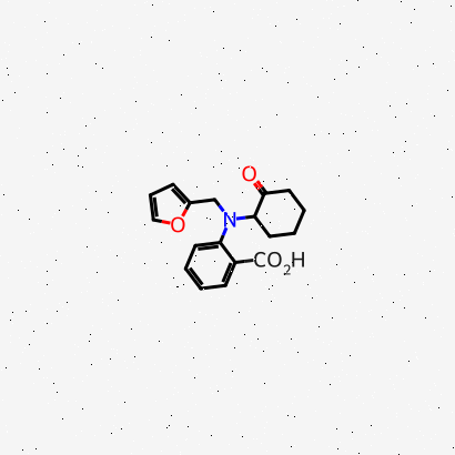 O=C(O)c1ccccc1N(Cc1ccco1)C1CCCCC1=O